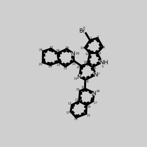 Brc1ccc2[nH]c3nc(-c4cc5ccccc5cn4)nc(-c4cc5ccccc5cn4)c3c2c1